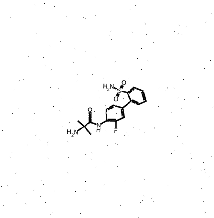 CC(C)(N)C(=O)Nc1ccc(-c2ccccc2S(N)(=O)=O)cc1F